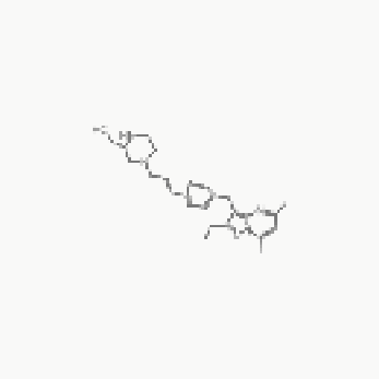 CCc1nn2c(C)cc(C)nc2c1Cc1ccc(C=CCN2CCNC(CO)C2)cc1